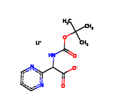 CC(C)(C)OC(=O)NC(C(=O)[O-])c1ncccn1.[Li+]